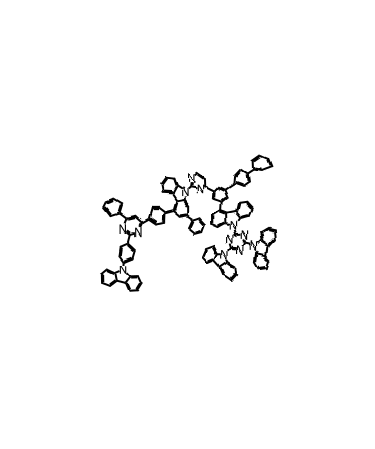 c1ccc(-c2ccc(-c3cc(-c4ccnc(-n5c6ccccc6c6c(-c7ccc(-c8cc(-c9ccccc9)nc(-c9ccc(-n%10c%11ccccc%11c%11ccccc%11%10)cc9)n8)cc7)cc(-c7ccccc7)cc65)n4)cc(-c4cccc5c4c4ccccc4n5-c4nc(-n5c6ccccc6c6ccccc65)nc(-n5c6ccccc6c6ccccc65)n4)c3)cc2)cc1